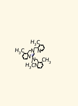 CCN(/C=C/N(Cc1ncccc1C)Cc1ncccc1C)Cc1ncccc1C